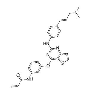 C=CC(=O)Nc1cccc(Oc2nc(Nc3ccc(C=CCN(C)C)cc3)nc3ccsc23)c1